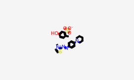 C[n+]1ccsc1N=Nc1ccc(N2CCCCC2)cc1.Cc1ccc(O)cc1S(=O)(=O)[O-]